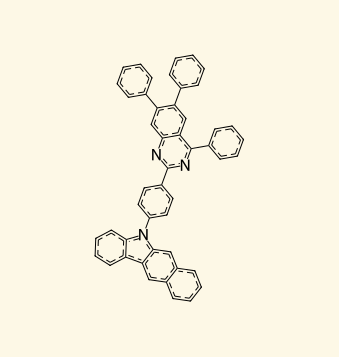 c1ccc(-c2cc3nc(-c4ccc(-n5c6ccccc6c6cc7ccccc7cc65)cc4)nc(-c4ccccc4)c3cc2-c2ccccc2)cc1